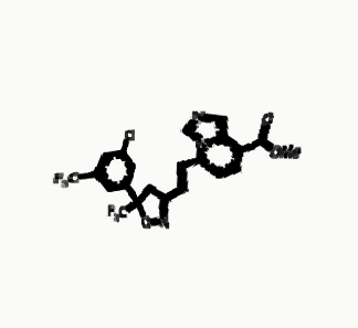 COC(=O)c1ccc(/C=C/C2=NOC(c3cc(Cl)cc(C(F)(F)F)c3)(C(F)(F)F)C2)n2cncc12